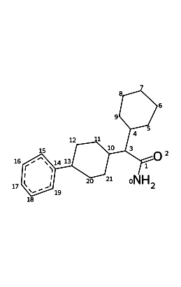 NC(=O)C(C1CCCCC1)C1CCC(c2ccccc2)CC1